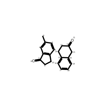 Cc1ccc2c(c1)C(=O)CC2.O=C1CCc2ccccc2C1